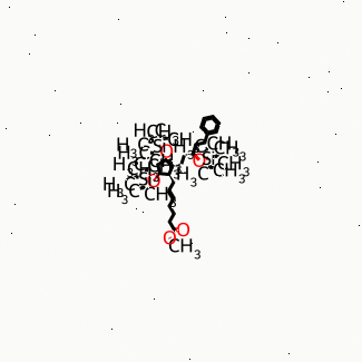 COC(=O)CCCC=CC[C@@H]1[C@@H](CC[C@H](CCc2ccccc2)O[Si](C(C)C)(C(C)C)C(C)C)[C@H](O[Si](C(C)C)(C(C)C)C(C)C)C[C@@H]1O[Si](C(C)C)(C(C)C)C(C)C